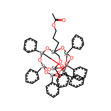 CC(=O)OCCC[Si]12CO[Si]3(c4ccccc4)O[Si]4(c5ccccc5)O[Si](c5ccccc5)(O1)O[Si]1(c5ccccc5)O[Si](c5ccccc5)(O2)O[Si](c2ccccc2)(O3)O[Si](c2ccccc2)(O4)O1